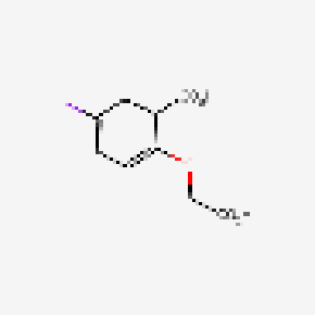 O=C(O)COC1=CC=C(I)CC1C(=O)O